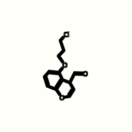 O=CC1C=COc2cccc(OCCCCl)c21